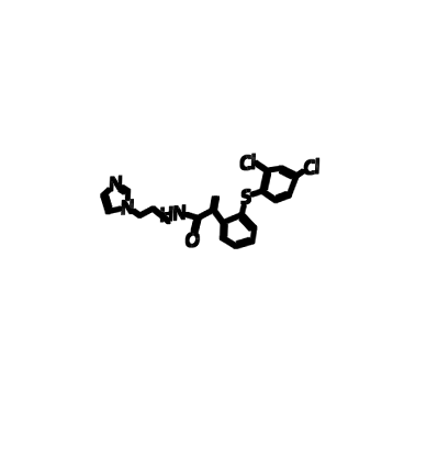 C=C(C(=O)NCCCn1ccnc1)c1ccccc1Sc1ccc(Cl)cc1Cl